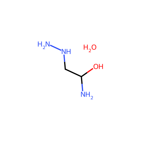 NNCC(N)O.O